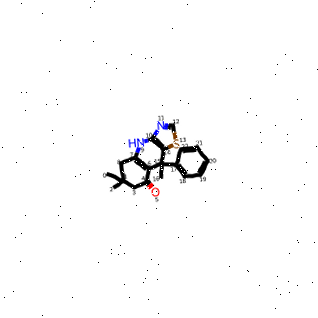 CC1(C)CC(=O)C2=C(C1)Nc1ncsc1C2(C)c1ccccc1